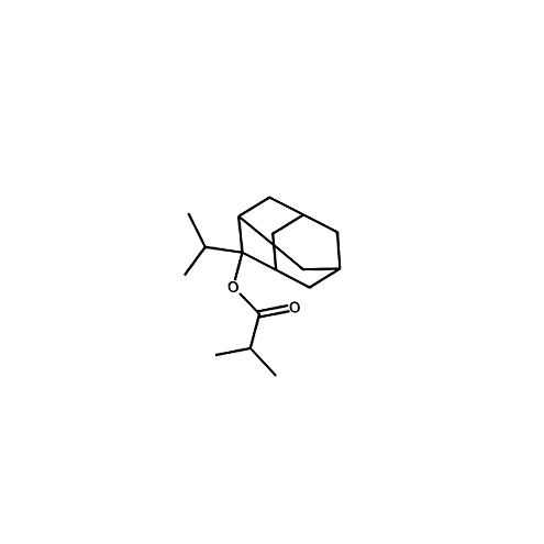 CC(C)C(=O)OC1(C(C)C)C2CC3CC(C2)CC1C3